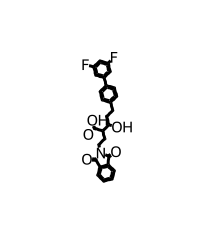 O=C(O)C(CCN1C(=O)c2ccccc2C1=O)C(O)CCc1ccc(-c2cc(F)cc(F)c2)cc1